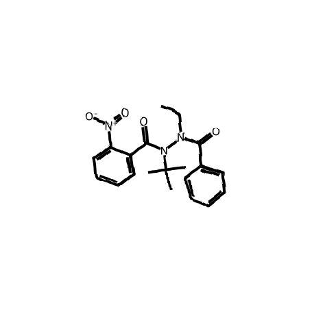 CCN(C(=O)c1ccccc1)N(C(=O)c1ccccc1[N+](=O)[O-])C(C)(C)C